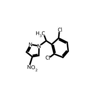 CC(c1c(Cl)cccc1Cl)n1cc([N+](=O)[O-])cn1